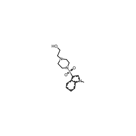 Cn1cc(S(=O)(=O)N2CCN(CCO)CC2)c2ccccc21